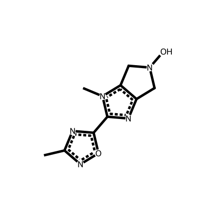 Cc1noc(-c2nc3c(n2C)CN(O)C3)n1